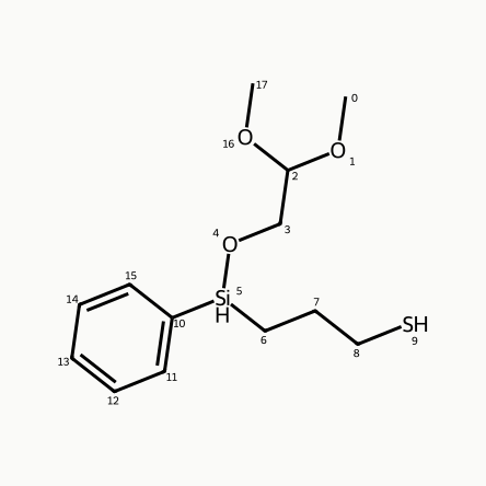 COC(CO[SiH](CCCS)c1ccccc1)OC